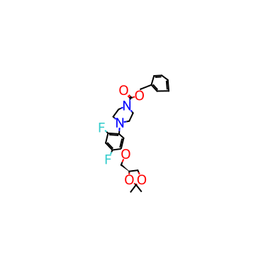 CC1(C)OC[C@H](COc2cc(N3CCN(C(=O)OCc4ccccc4)CC3)c(F)cc2F)O1